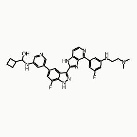 CN(C)CCNc1cc(F)cc(-c2nccc3[nH]c(-c4n[nH]c5c(F)cc(-c6cncc(NC(O)C7CCC7)c6)cc45)nc23)c1